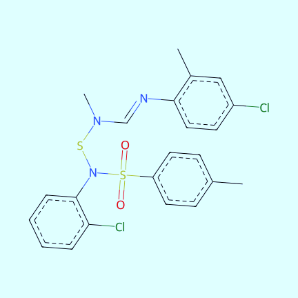 Cc1ccc(S(=O)(=O)N(SN(C)C=Nc2ccc(Cl)cc2C)c2ccccc2Cl)cc1